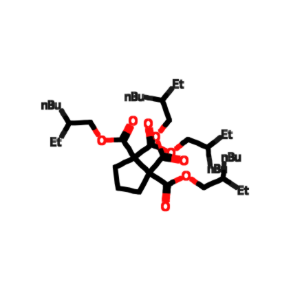 CCCCC(CC)COC(=O)C1(C(=O)OCC(CC)CCCC)CCCC1(C(=O)OCC(CC)CCCC)C(=O)OCC(CC)CCCC